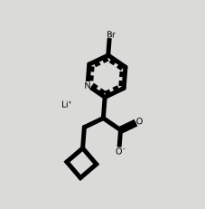 O=C([O-])C(CC1CCC1)c1ccc(Br)cn1.[Li+]